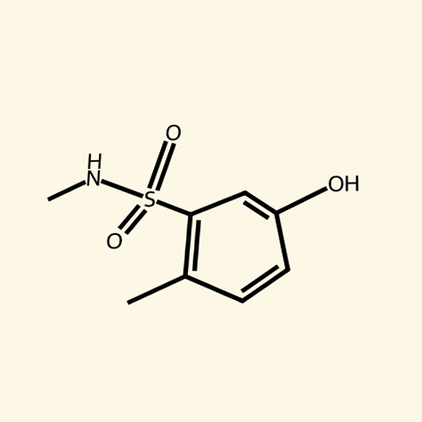 CNS(=O)(=O)c1cc(O)ccc1C